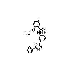 O=C(Nc1cc(-c2nnc(-c3ccco3)o2)ccc1F)c1cc(F)ccc1OCC(F)(F)F